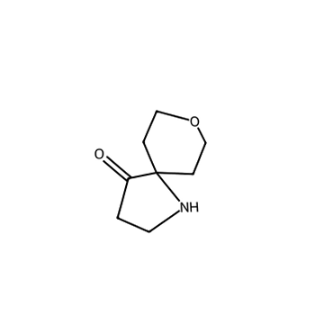 O=C1CCNC12CCOCC2